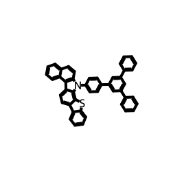 c1ccc(-c2cc(-c3ccccc3)cc(-c3ccc(-n4c5ccc6ccccc6c5c5ccc6c7ccccc7sc6c54)cc3)c2)cc1